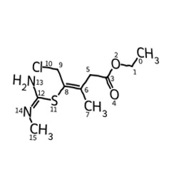 CCOC(=O)C/C(C)=C(\CCl)S/C(N)=N\C